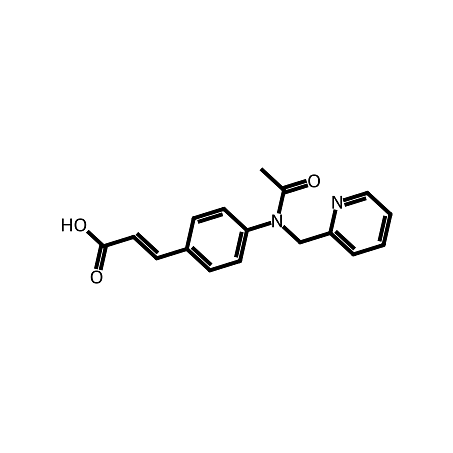 CC(=O)N(Cc1ccccn1)c1ccc(C=CC(=O)O)cc1